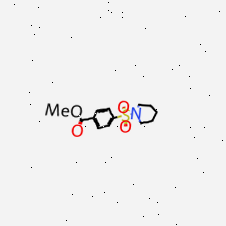 COC(=O)c1ccc(S(=O)(=O)N2CCCCC2)cc1